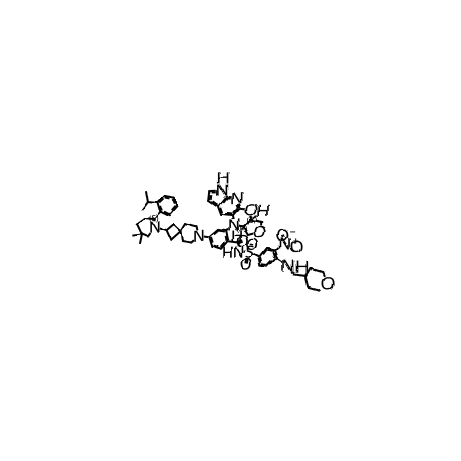 CC(C)c1ccccc1[C@@H]1CCC(C)(C)CN1C1CC2(CCN(c3ccc(C(=O)NS(=O)(=O)c4ccc(NCC5CCOCC5)c([N+](=O)[O-])c4)c(N4c5cc6cc[nH]c6nc5O[C@@H]5COC[C@H]54)c3)CC2)C1